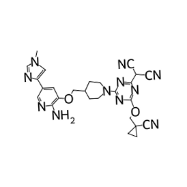 Cn1cnc(-c2cnc(N)c(OCC3CCN(c4nc(OCC5(C#N)CC5)nc(C(C#N)C#N)n4)CC3)c2)c1